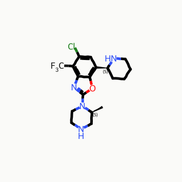 C[C@H]1CNCCN1c1nc2c(C(F)(F)F)c(Cl)cc([C@@H]3CCCCN3)c2o1